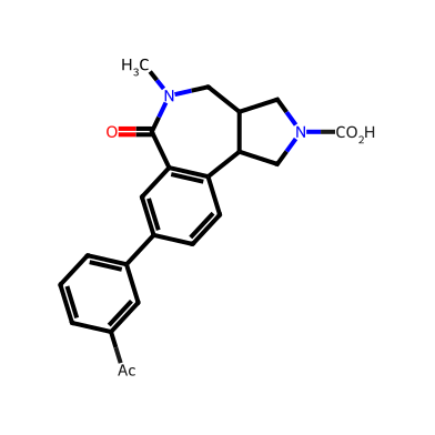 CC(=O)c1cccc(-c2ccc3c(c2)C(=O)N(C)CC2CN(C(=O)O)CC32)c1